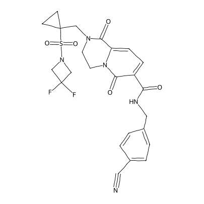 N#Cc1ccc(CNC(=O)c2ccc3n(c2=O)CCN(CC2(S(=O)(=O)N4CC(F)(F)C4)CC2)C3=O)cc1